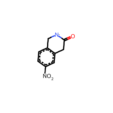 O=C1Cc2cc([N+](=O)[O-])ccc2C[N]1